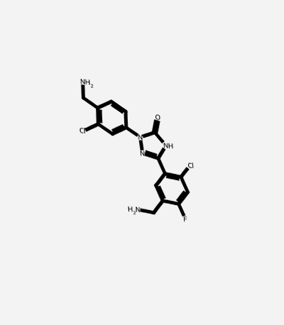 NCc1cc(-c2nn(-c3ccc(CN)c(Cl)c3)c(=O)[nH]2)c(Cl)cc1F